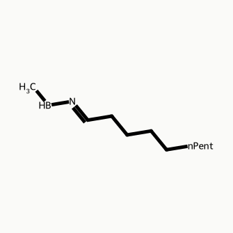 CB/N=C/CCCCCCCCC